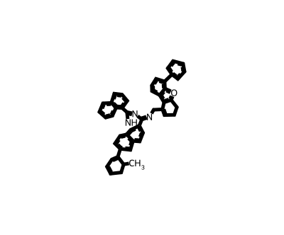 CC1CC=CC=C1c1ccc2cc(C(=N/CC3=CCCc4oc5c(-c6ccccc6)cccc5c43)/N=C(\N)c3cccc4ccccc34)ccc2c1